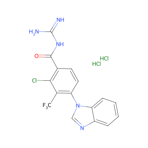 Cl.Cl.N=C(N)NC(=O)c1ccc(-n2cnc3ccccc32)c(C(F)(F)F)c1Cl